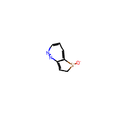 [O-][S+]1CC=C2N=NC=CC=C21